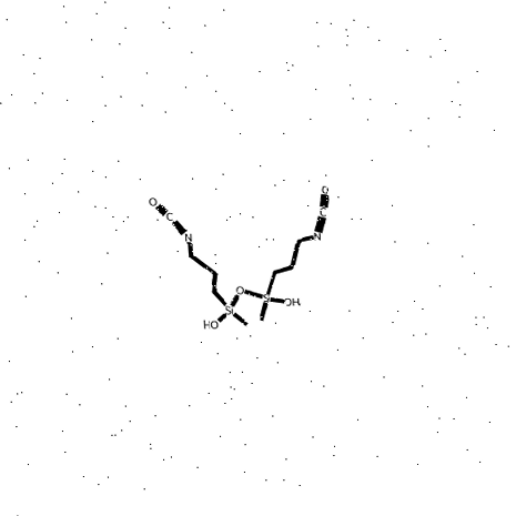 C[Si](O)(CCCN=C=O)O[Si](C)(O)CCCN=C=O